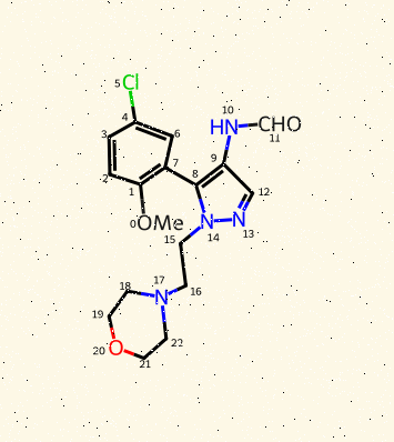 COc1ccc(Cl)cc1-c1c(NC=O)cnn1CCN1CCOCC1